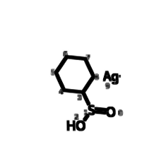 O=S(O)C1CCCCC1.[Ag]